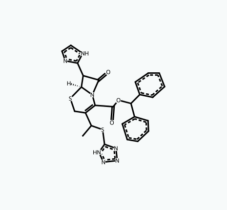 CC(Sc1nnn[nH]1)C1=C(C(=O)OC(c2ccccc2)c2ccccc2)N2C(=O)C(c3ncc[nH]3)[C@@H]2SC1